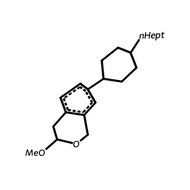 CCCCCCCC1CCC(c2ccc3c(c2)COC(OC)C3)CC1